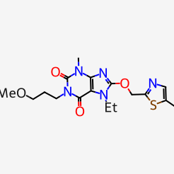 CCn1c(OCc2ncc(C)s2)nc2c1c(=O)n(CCCOC)c(=O)n2C